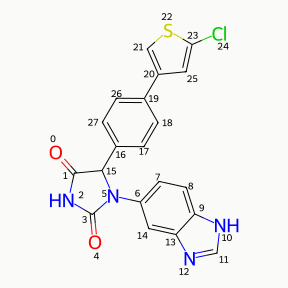 O=C1NC(=O)N(c2ccc3[nH]cnc3c2)C1c1ccc(-c2csc(Cl)c2)cc1